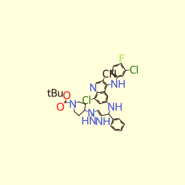 CC(C)(C)OC(=O)N1CCC(N2C=C([C@@H](Nc3cc(Cl)c4ncc(C#N)c(Nc5ccc(F)c(Cl)c5)c4c3)c3ccccc3)NN2)CC1